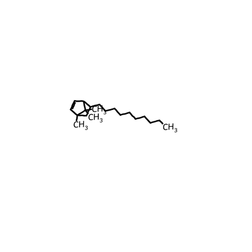 CCCCCCCCCCC1CC2(C)C=CC1C2(C)C